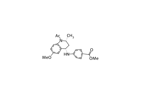 COC(=O)c1ccc(N[C@H]2C[C@@H](C)N(C(C)=O)c3ccc(OC)cc32)cc1